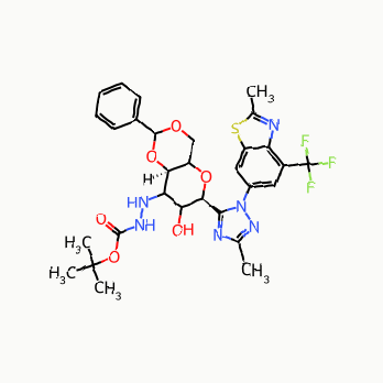 Cc1nc([C@@H]2OC3COC(c4ccccc4)O[C@@H]3C(NNC(=O)OC(C)(C)C)C2O)n(-c2cc(C(F)(F)F)c3nc(C)sc3c2)n1